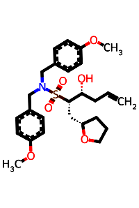 C=CC[C@@H](O)[C@H](C[C@@H]1CCCO1)S(=O)(=O)N(Cc1ccc(OC)cc1)Cc1ccc(OC)cc1